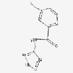 O=C(Nc1nc[nH]n1)c1cccc(I)c1